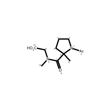 CC(=O)N1CCCC1(C)C(=O)N(C)CC(=O)O